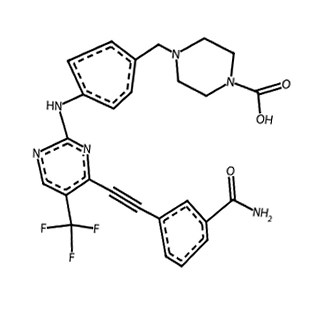 NC(=O)c1cccc(C#Cc2nc(Nc3ccc(CN4CCN(C(=O)O)CC4)cc3)ncc2C(F)(F)F)c1